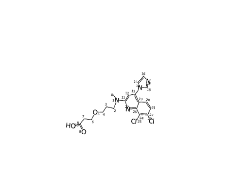 CN(CCCOCCC(=O)O)c1cc(-n2ccnc2)c2ccc(Cl)c(Cl)c2n1